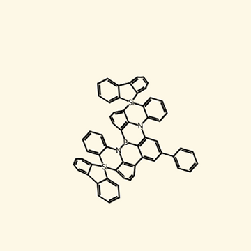 c1ccc(-c2cc3c4c(c2)N2c5ccccc5[Si]5(c6ccccc6-c6ccccc65)c5cccc(c52)B4N2c4ccccc4[Si]4(c5ccccc5-c5ccccc54)c4cccc-3c42)cc1